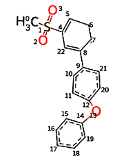 CS(=O)(=O)C1=CC[CH]C(c2ccc(Oc3ccccc3)cc2)=C1